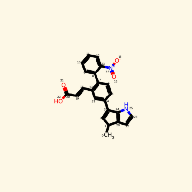 CC1C=C(c2ccc(-c3ccccc3[N+](=O)[O-])c(/C=C/C(=O)O)c2)c2[nH]ccc21